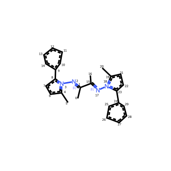 CC(=N\n1c(C)ccc1-c1ccccc1)/C(C)=N/n1c(C)ccc1-c1ccccc1